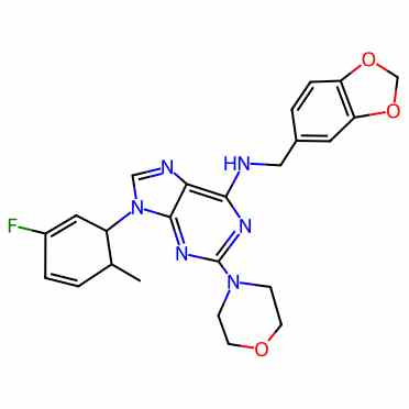 CC1C=CC(F)=CC1n1cnc2c(NCc3ccc4c(c3)OCO4)nc(N3CCOCC3)nc21